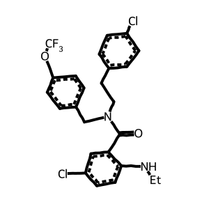 CCNc1ccc(Cl)cc1C(=O)N(CCc1ccc(Cl)cc1)Cc1ccc(OC(F)(F)F)cc1